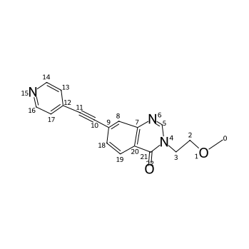 COCCn1cnc2cc(C#Cc3ccncc3)ccc2c1=O